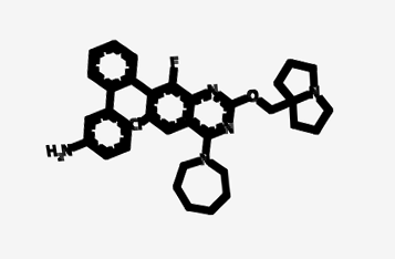 Nc1cccc(-c2ccccc2-c2c(Cl)cc3c(N4CCCCCC4)nc(OCC45CCCN4CCC5)nc3c2F)c1